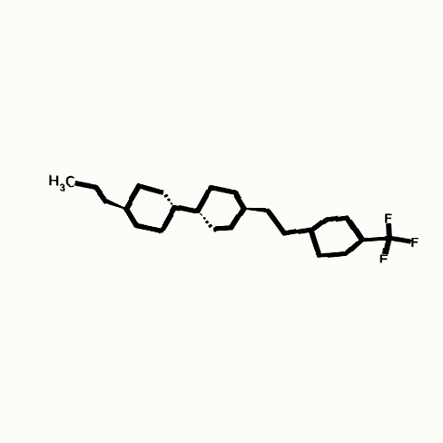 CCC[C@H]1CC[C@H]([C@H]2CC[C@H](CCC3CCC(C(F)(F)F)CC3)CC2)CC1